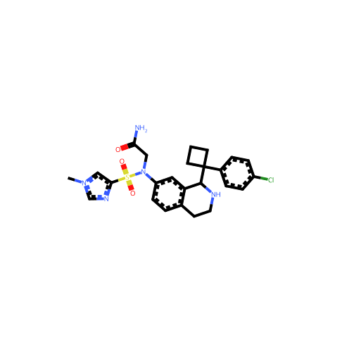 Cn1cnc(S(=O)(=O)N(CC(N)=O)c2ccc3c(c2)C(C2(c4ccc(Cl)cc4)CCC2)NCC3)c1